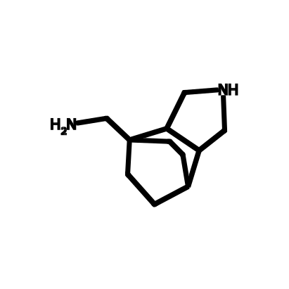 NCC12CCC(CC1)C1CNCC12